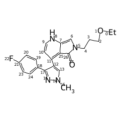 CCOCCCn1cc2[nH]ccc(-c3cn(C)nc3-c3ccc(F)cc3)c-2c1=O